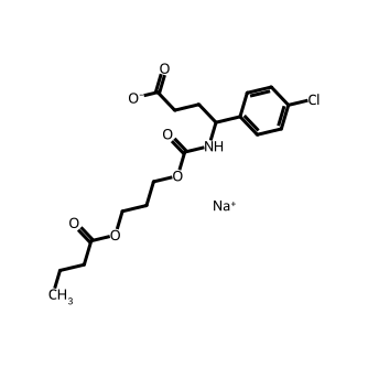 CCCC(=O)OCCCOC(=O)NC(CCC(=O)[O-])c1ccc(Cl)cc1.[Na+]